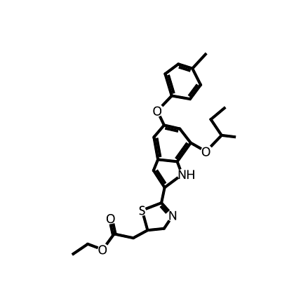 CCOC(=O)CC1CN=C(c2cc3cc(Oc4ccc(C)cc4)cc(OC(C)CC)c3[nH]2)S1